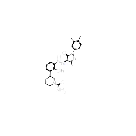 CC1=NN(c2ccc(C)c(C)c2)C(=O)/C1=N\Nc1cccc(C2CCCN(C(N)=O)C2)c1O